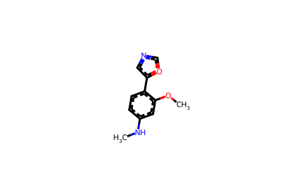 CNc1ccc(-c2cnco2)c(OC)c1